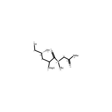 CCCCCCCC(C[C@@H](O)CS)C(=O)N(CCCC)CC(=O)NC